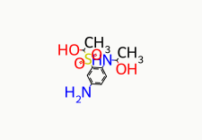 CC(O)Nc1ccc(N)cc1S(=O)(=O)C(C)O